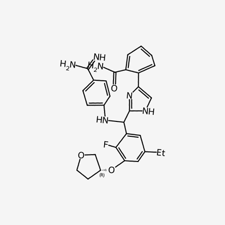 CCc1cc(O[C@@H]2CCOC2)c(F)c(C(Nc2ccc(C(=N)N)cc2)c2nc(-c3ccccc3C(N)=O)c[nH]2)c1